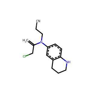 C=C(CCl)N(CCC#N)c1ccc2c(c1)CCCN2